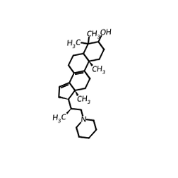 C[C@H](CN1CCCCC1)[C@H]1CC=C2C3=C(CC[C@@]21C)[C@@]1(C)CCC(O)C(C)(C)C1CC3